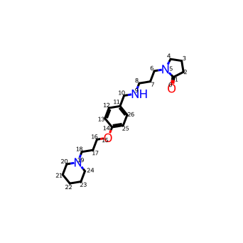 O=C1CCCN1CCCNCc1ccc(OCCCN2CCCCC2)cc1